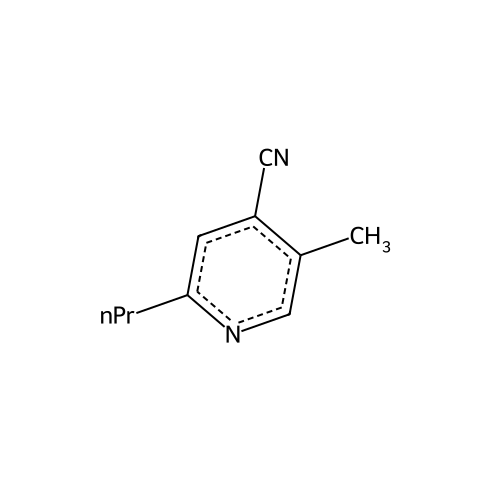 CCCc1cc(C#N)c(C)cn1